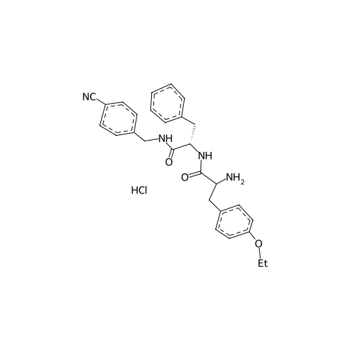 CCOc1ccc(CC(N)C(=O)N[C@@H](Cc2ccccc2)C(=O)NCc2ccc(C#N)cc2)cc1.Cl